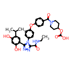 CCNC(=O)c1nnc(-c2cc(C(C)C)c(O)cc2O)n1-c1ccc(Oc2ccc(C(=O)N3CCC(OC(=O)O)CC3)cc2)cc1